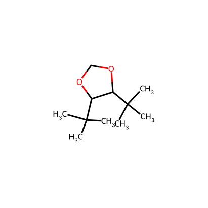 CC(C)(C)C1OCOC1C(C)(C)C